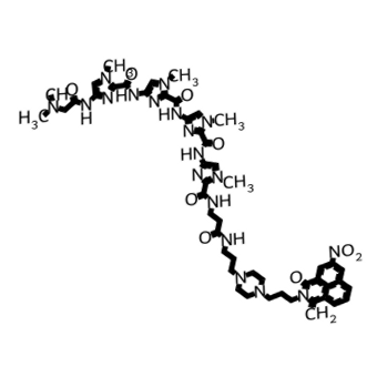 C=c1c2cccc3cc([N+](=O)[O-])cc(c(=O)n1CCCN1CCN(CCCNC(=O)CCNC(=O)c4nc(NC(=O)c5nc(NC(=O)c6nc(NC(=O)c7nc(NC(=O)CN(C)C)cn7C)cn6C)cn5C)cn4C)CC1)c32